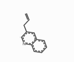 C=CCc1[c]nc2ccccc2c1